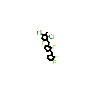 Cc1c(Cl)ccc(Cc2c(F)ccc(Cc3cccc(F)c3F)c2F)c1Cl